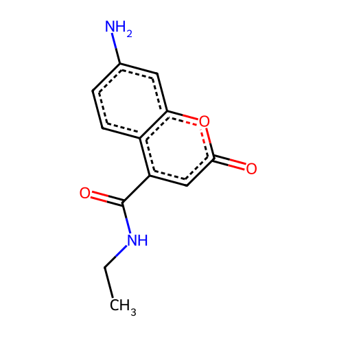 CCNC(=O)c1cc(=O)oc2cc(N)ccc12